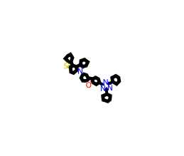 c1ccc(-c2nc(-c3ccccc3)nc(-c3ccc4c(c3)oc3ccc(-n5c6ccccc6c6c7c(ccc65)sc5ccccc57)cc34)n2)cc1